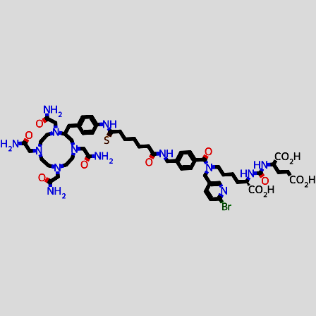 NC(=O)CN1CCN(CC(N)=O)CCN(CC(N)=O)C(Cc2ccc(NC(=S)CCCCCC(=O)NCc3ccc(C(=O)N(CCCC[C@@H](NC(=O)NC(CCC(=O)O)C(=O)O)C(=O)O)Cc4ccc(Br)nc4)cc3)cc2)CN(CC(N)=O)CC1